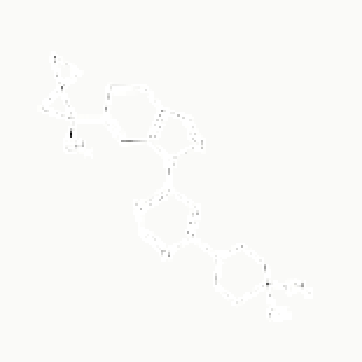 CC1(O)CCN(c2cc(-n3ncc4ccc([C@]5(C)CC56CC6)cc43)ncn2)CC1